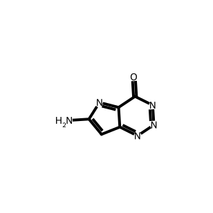 NC1=CC2=NN=NC(=O)C2=N1